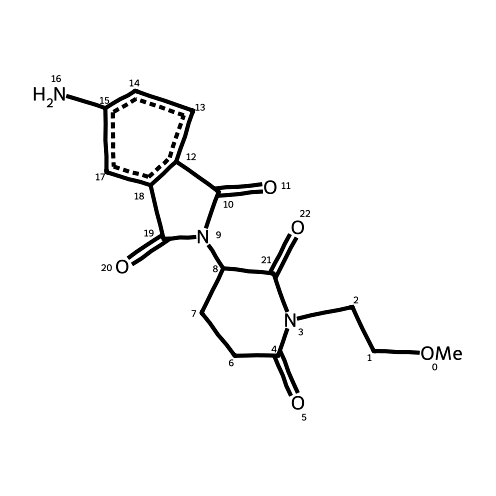 COCCN1C(=O)CCC(N2C(=O)c3ccc(N)cc3C2=O)C1=O